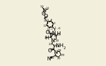 C[C@@H](c1ccc(SOON(C)C)cc1)N1C(=O)[C@@H]2C[C@H]1CN2C[C@H](N)C(=O)N1CCC[C@H]1C#N